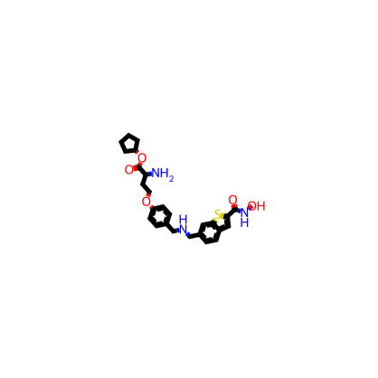 NC(CCOc1ccc(CNCc2ccc3cc(C(=O)NO)sc3c2)cc1)C(=O)OC1CCCC1